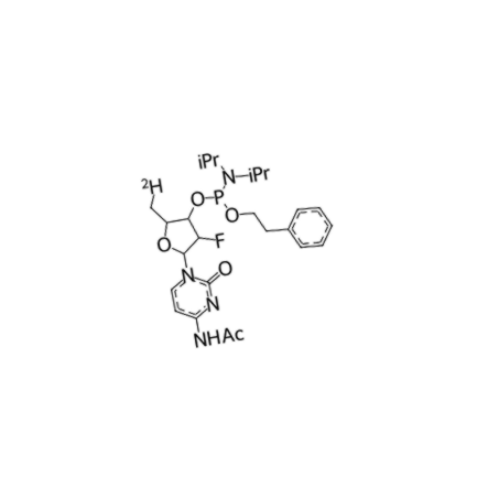 [2H]CC1OC(n2ccc(NC(C)=O)nc2=O)C(F)C1OP(OCCc1ccccc1)N(C(C)C)C(C)C